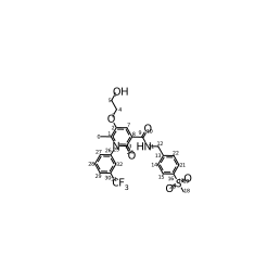 Cc1c(OCCO)cc(C(=O)NCc2ccc(S(C)(=O)=O)cc2)c(=O)n1-c1cccc(C(F)(F)F)c1